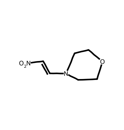 O=[N+]([O-])/C=C/N1CCOCC1